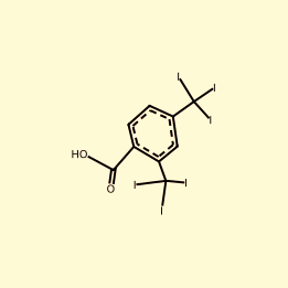 O=C(O)c1ccc(C(I)(I)I)cc1C(I)(I)I